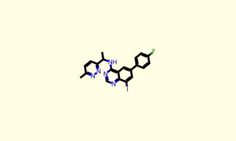 Cc1ccc(C(C)Nc2ncnc3c(I)cc(-c4ccc(F)cc4)cc23)nn1